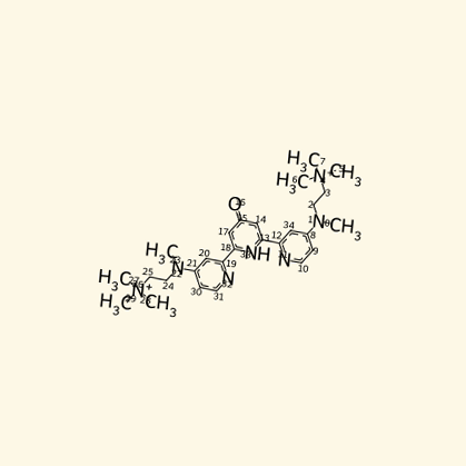 CN(CC[N+](C)(C)C)c1ccnc(-c2cc(=O)cc(-c3cc(N(C)CC[N+](C)(C)C)ccn3)[nH]2)c1